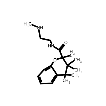 CNCCNC(=O)C1(C)Oc2ccccc2C(C)(C)C1(C)C